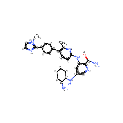 Cc1nc(Nc2cc(N[C@@H]3CCCC[C@@H]3N)cnc2C(N)=O)ccc1-c1ccc(-c2nccn2C)cc1